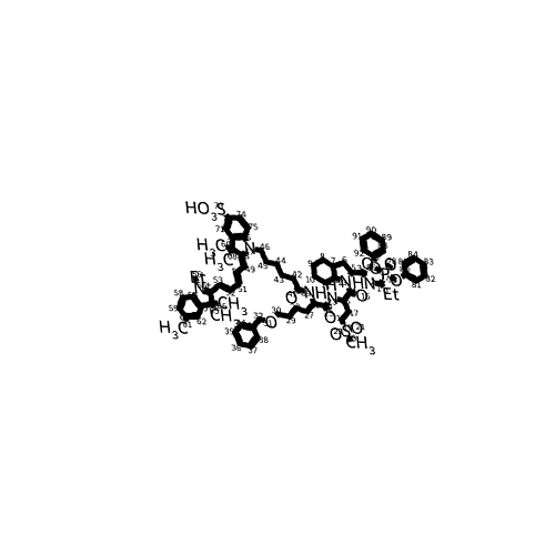 CCC(NC(=O)C1CC2CCCCC2N1C(=O)C(CCS(C)(=O)=O)NC(=O)C(CCCCOCc1ccccc1)NC(=O)CCCCCN1/C(=C/C=C/C=C/C2=[N+](CC)c3ccc(C)cc3C2(C)C)C(C)(C)c2cc(S(=O)(=O)O)ccc21)P(=O)(Oc1ccccc1)Oc1ccccc1